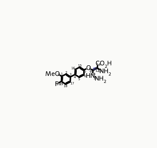 COc1cc(-c2ccc(O/C(NN)=C(/N)C(=O)O)cc2)ccc1F